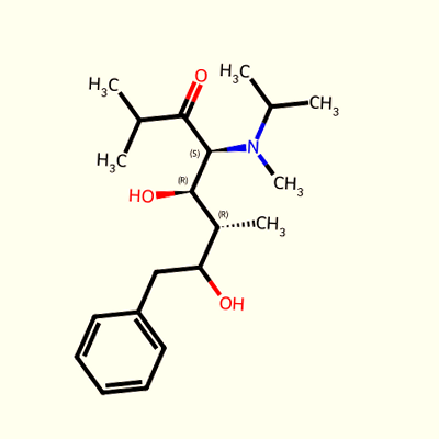 CC(C)C(=O)[C@H]([C@H](O)[C@H](C)C(O)Cc1ccccc1)N(C)C(C)C